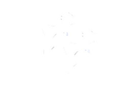 C=Cc1cccc2c1[nH]c1ccccc12.C=Cc1cccc2c1[nH]c1ccccc12